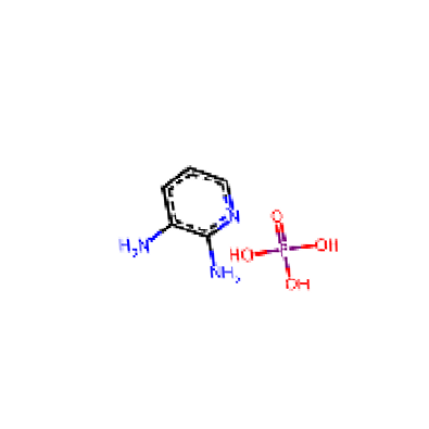 Nc1cccnc1N.O=P(O)(O)O